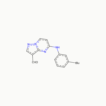 CC(C)(C)c1cccc(Nc2ccn3ncc(C=O)c3n2)c1